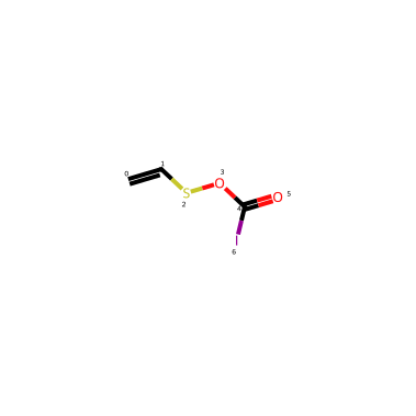 C=CSOC(=O)I